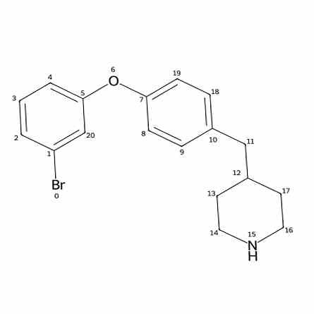 Brc1cccc(Oc2ccc(CC3CCNCC3)cc2)c1